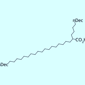 CCCCCCCCCCCCCCCCCCCCCCCCCCCCC(CCCCCCCCCCCCCC)C(=O)O